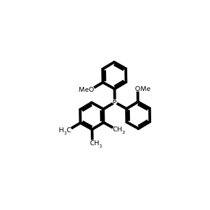 COc1ccccc1P(c1ccccc1OC)c1ccc(C)c(C)c1C